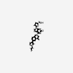 CCCN(Cc1ccc(-c2cn(CCF)nn2)cc1)c1nc(Cl)nc2c1ncn2[C@H]1CC[C@H](CO)O1